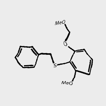 COCOc1cccc(OC)c1SCc1ccccc1